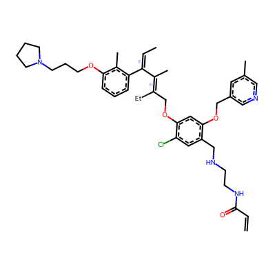 C=CC(=O)NCCNCc1cc(Cl)c(OC/C(CC)=C(C)/C(=C\C)c2cccc(OCCCN3CCCC3)c2C)cc1OCc1cncc(C)c1